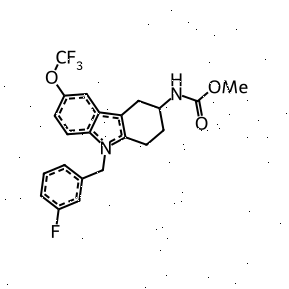 COC(=O)NC1CCc2c(c3cc(OC(F)(F)F)ccc3n2Cc2cccc(F)c2)C1